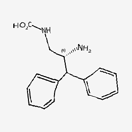 N[C@@H](CNC(=O)O)C(c1ccccc1)c1ccccc1